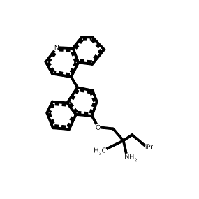 CC(C)CC(C)(N)COc1ccc(-c2ccnc3ccccc23)c2ccccc12